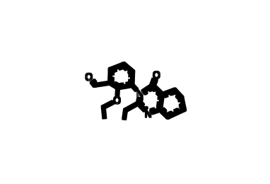 CCOc1c(C=O)cccc1-n1c(CC)nc2ccccc2c1=O